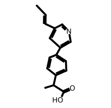 CC=Cc1cncc(-c2ccc(C(C)C(=O)O)cc2)c1